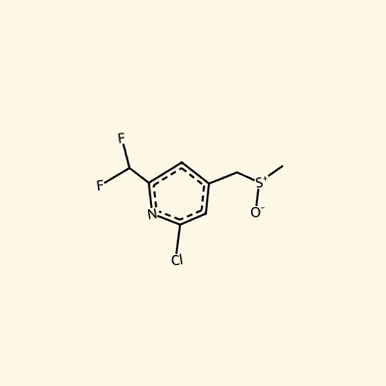 C[S+]([O-])Cc1cc(Cl)nc(C(F)F)c1